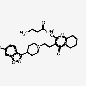 CCCC(=O)O.Cc1nc2n(c(=O)c1CCN1CCC(c3noc4cc(F)ccc34)CC1)CCCC2